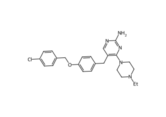 CCN1CCN(c2nc(N)ncc2Cc2ccc(OCc3ccc(Cl)cc3)cc2)CC1